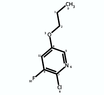 CCCOc1cnc(Cl)c(F)c1